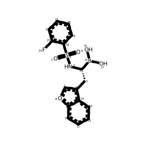 O=S(=O)(N[C@@H](Cc1coc2ccccc12)B(O)O)c1ccccc1F